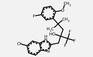 COc1ccc(F)cc1C(C)(C)CC(O)(Cc1nc2ccc(Cl)cc2[nH]1)C(F)(F)F